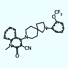 Cn1c(=O)c(C#N)c(N2CCC3(CCN(c4ccccc4OC(F)(F)F)C3)CC2)c2ccccc21